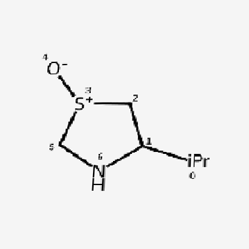 CC(C)C1C[S+]([O-])CN1